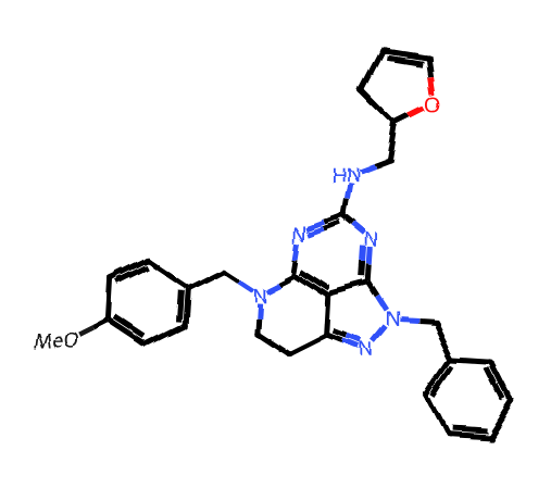 COc1ccc(CN2CCc3nn(Cc4ccccc4)c4nc(NCC5CC=CO5)nc2c34)cc1